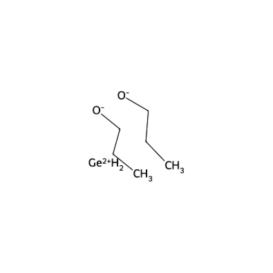 CCC[O-].CCC[O-].[GeH2+2]